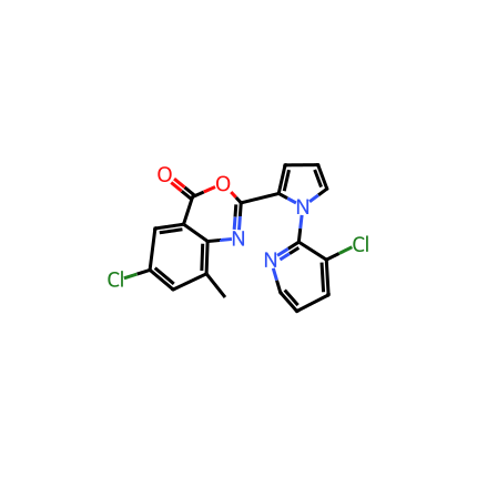 Cc1cc(Cl)cc2c(=O)oc(-c3cccn3-c3ncccc3Cl)nc12